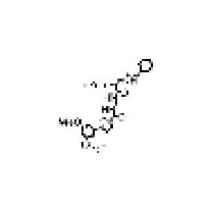 CCCCCC(CNOCc1ccccc1)C(=O)NCNC(=O)c1ccc(-c2cc(OC)cc(C(=O)O)c2)o1